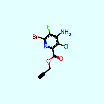 C#CCOC(=O)c1nc(Br)c(F)c(N)c1Cl